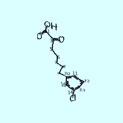 O=C(O)C(=O)CCCCCc1cccc(Cl)c1